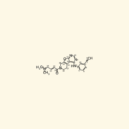 C#Cc1cccc(Nc2ncnc3oc4c(c23)CCN(C(=O)C=CCN(C)C)C4)c1